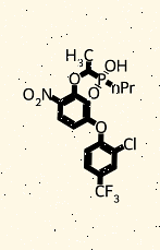 CCCP(=O)(O)C(C)Oc1cc(Oc2ccc(C(F)(F)F)cc2Cl)ccc1[N+](=O)[O-]